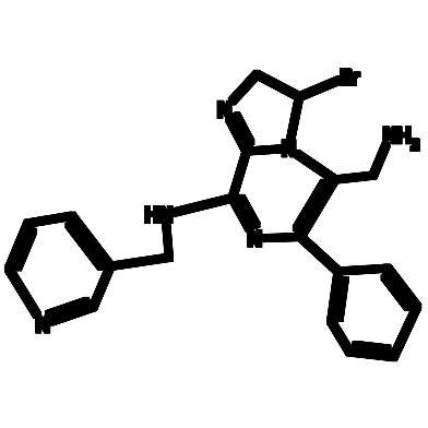 NCC1=C(c2ccccc2)N=C(NCc2cccnc2)C2=NCC(Br)N21